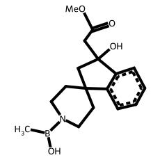 COC(=O)CC1(O)CC2(CCN(B(C)O)CC2)c2ccccc21